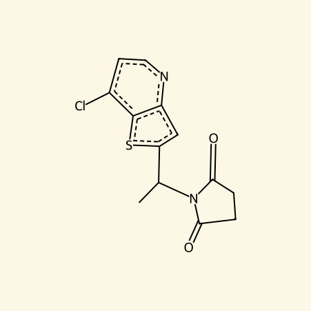 CC(c1cc2nccc(Cl)c2s1)N1C(=O)CCC1=O